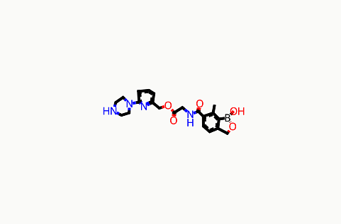 Cc1c(C(=O)NCC(=O)OCc2cccc(N3CCNCC3)n2)ccc2c1B(O)OC2